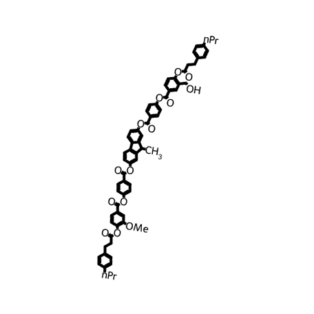 CCCc1ccc(CCC(=O)Oc2ccc(C(=O)Oc3ccc(C(=O)Oc4ccc5c(c4)C(C)c4cc(OC(=O)c6ccc(OC(=O)c7ccc(OC(=O)CCc8ccc(CCC)cc8)c(OC)c7)cc6)ccc4-5)cc3)cc2CO)cc1